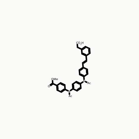 COC(=O)c1ccc(N(C(C)=O)c2ccc(N(C(C)=O)c3ccc(C=Cc4cccc(CC(=O)O)c4)cc3)cc2)cc1